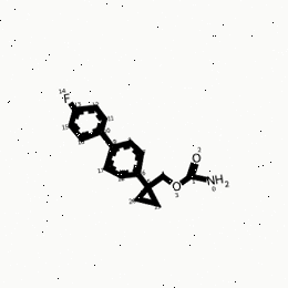 NC(=O)OCC1(c2ccc(-c3ccc(F)cc3)cc2)CC1